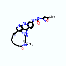 C[C@@H]1CCNc2c(cnc(N)c2C(=N)c2ccc(NC(=O)Nc3cc(C(C)(C)C)on3)cc2)/C=C/CCCCCC(O)N1